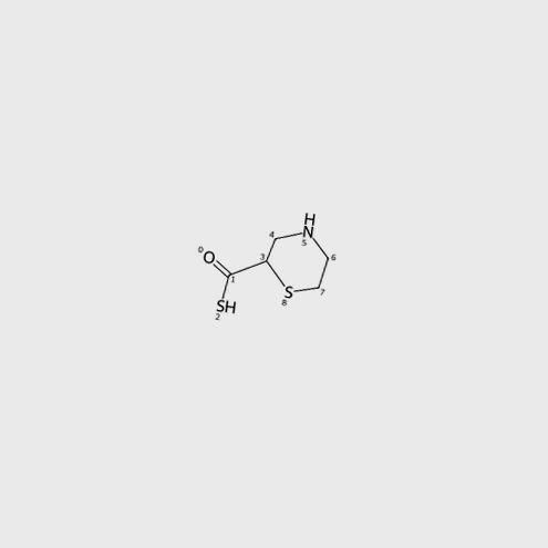 O=C(S)C1CNCCS1